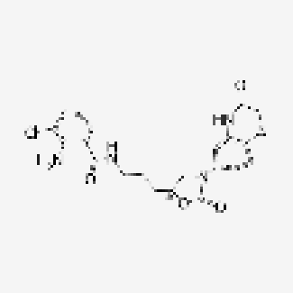 Nc1c(Cl)cccc1C(=O)NCCC[C@H]1CN(c2ccc3c(c2)NC(=O)CS3)C(=O)O1